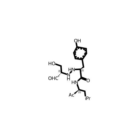 CC(=O)[C@H](CC(C)C)NC(=O)[C@H](Cc1ccc(O)cc1)NN[C@H](C=O)CO